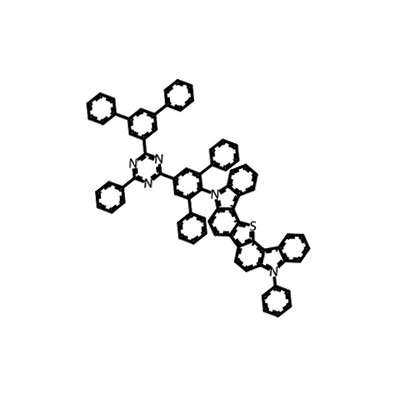 c1ccc(-c2cc(-c3ccccc3)cc(-c3nc(-c4ccccc4)nc(-c4cc(-c5ccccc5)c(-n5c6ccccc6c6c7sc8c(ccc9c8c8ccccc8n9-c8ccccc8)c7ccc65)c(-c5ccccc5)c4)n3)c2)cc1